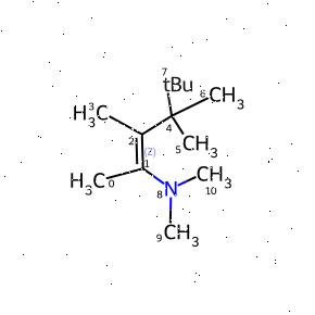 C/C(=C(\C)C(C)(C)C(C)(C)C)N(C)C